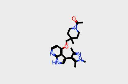 CC(=O)N1CCC(C)(COc2ccnc3[nH]cc(-c4c(C)nn(C)c4C)c23)CC1